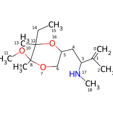 C=C(C)C(CC1COC(C)(OC)C(C)(CC)O1)NC